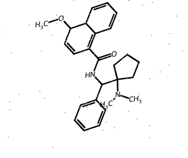 COC1C=CC(C(=O)NC(c2ccccc2)C2(N(C)C)CCCC2)=C2C=CC=CC21